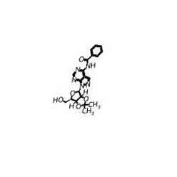 CC1(C)O[C@@H]2[C@H](O1)[C@@H](CO)O[C@H]2n1ncc2c(NC(=O)c3ccccc3)ncnc21